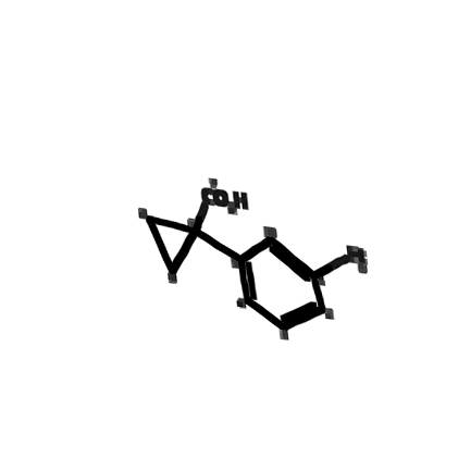 CCc1cccc(C2(C(=O)O)CC2)c1